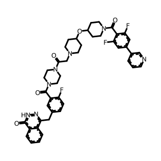 O=C(CN1CCC(OC2CCN(C(=O)c3c(F)cc(-c4cccnc4)cc3F)CC2)CC1)N1CCN(C(=O)c2cc(Cc3n[nH]c(=O)c4ccccc34)ccc2F)CC1